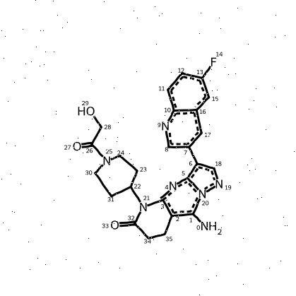 Nc1c2c(nc3c(-c4cnc5ccc(F)cc5c4)cnn13)N(C1CCN(C(=O)CO)CC1)C(=O)CC2